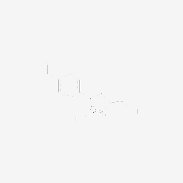 CCc1ccc(-c2cc(CO)nn2C)cc1